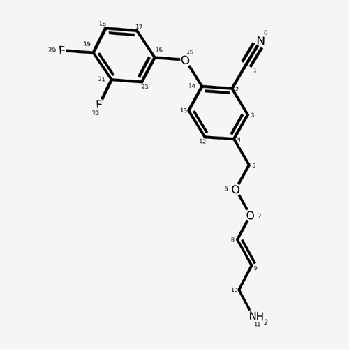 N#Cc1cc(COOC=CCN)ccc1Oc1ccc(F)c(F)c1